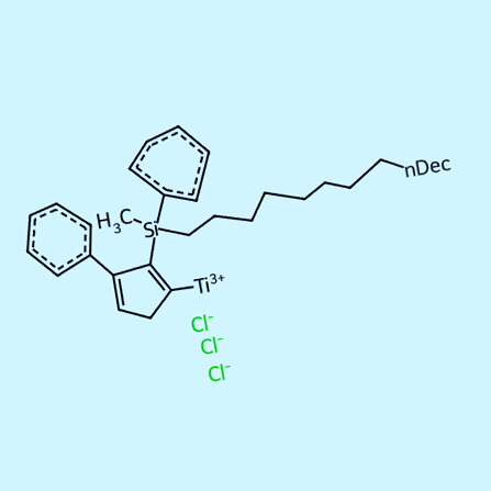 CCCCCCCCCCCCCCCCCC[Si](C)(C1=[C]([Ti+3])CC=C1c1ccccc1)c1ccccc1.[Cl-].[Cl-].[Cl-]